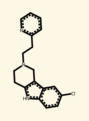 Clc1ccc2[nH]c3c(c2c1)CN(CCc1ccccn1)CC3